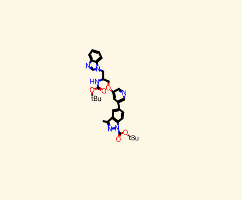 Cc1nn(C(=O)OC(C)(C)C)c2ccc(-c3cncc(OCC(Cn4cnc5ccccc54)NC(=O)OC(C)(C)C)c3)cc12